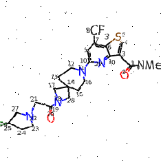 CNC(=O)c1csc2c(C(F)(F)F)cc(N3CCC4(CC3)CN(C(=O)CN3CC[C@@H](F)C3)C4)nc12